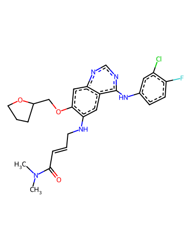 CN(C)C(=O)C=CCNc1cc2c(Nc3ccc(F)c(Cl)c3)ncnc2cc1OCC1CCCO1